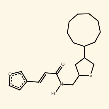 CCN(CC1CC(C2CCCCCCCC2)CS1)C(=O)/C=C/c1ccoc1